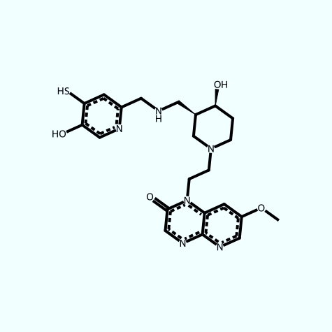 COc1cnc2ncc(=O)n(CCN3CC[C@H](O)[C@H](CNCc4cc(S)c(O)cn4)C3)c2c1